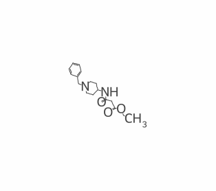 CCOC(=O)CC(=O)NC1CCN(Cc2ccccc2)CC1